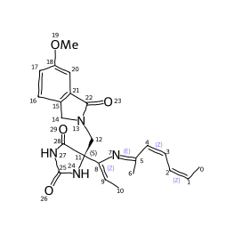 C\C=C/C=C\C(C)=N\C(=C/C)[C@]1(CN2Cc3ccc(OC)cc3C2=O)NC(=O)NC1=O